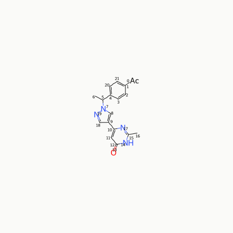 CC(=O)c1ccc(C(C)n2cc(-c3cc(=O)[nH]c(C)n3)cn2)cc1